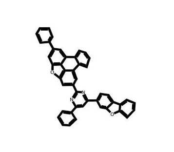 c1ccc(-c2cc3oc4cc(-c5nc(-c6ccccc6)cc(-c6ccc7c(c6)oc6ccccc67)n5)cc5c6ccccc6c(c2)c3c45)cc1